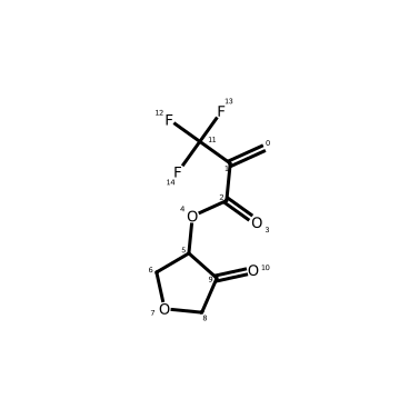 C=C(C(=O)OC1COCC1=O)C(F)(F)F